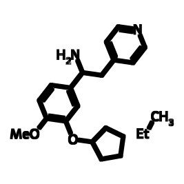 CCC.COc1ccc(C(N)Cc2ccncc2)cc1OC1CCCC1